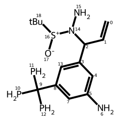 C=CC(c1cc(N)cc(C(P)(P)P)c1)N(N)[S+]([O-])C(C)(C)C